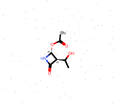 CC(O)[C@H]1C(=O)N[C@@H]1OC(=O)C(C)(C)C